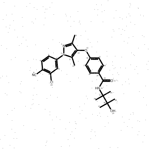 Cc1nn(-c2ccc(C#N)c(Cl)c2)c(C)c1Oc1ccc(C(=O)NC(C)(C)C(C)(C)O)cc1